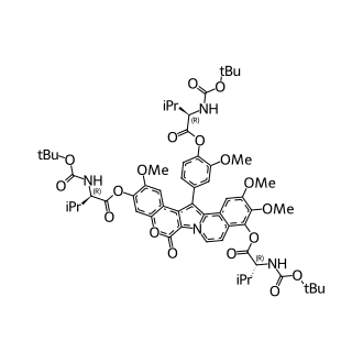 COc1cc(-c2c3c4cc(OC)c(OC(=O)[C@H](NC(=O)OC(C)(C)C)C(C)C)cc4oc(=O)c3n3ccc4c(OC(=O)[C@H](NC(=O)OC(C)(C)C)C(C)C)c(OC)c(OC)cc4c23)ccc1OC(=O)[C@H](NC(=O)OC(C)(C)C)C(C)C